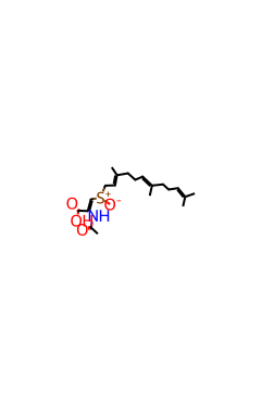 CC(=O)N/C(=C\[S+]([O-])C/C=C(\C)CC/C=C(\C)CCC=C(C)C)C(=O)O